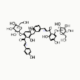 O=C(/C=C/c1ccc(O)c(Cc2c(O)cc(O[C@@H]3O[C@H](CO)[C@@H](O)[C@H](O)[C@H]3O)c(C(=O)/C=C/c3ccc(O)cc3)c2O)c1)c1c(O)cc(O)cc1O[C@@H]1O[C@H](CO)[C@@H](O)[C@H](O)[C@H]1O